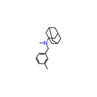 Cc1cccc(CN(C)C23CC4CC(CC(C4)C2)C3)c1